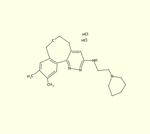 Cc1cc2c(cc1C)-c1nnc(NCCN3CCCCC3)cc1CCCC2.Cl.Cl